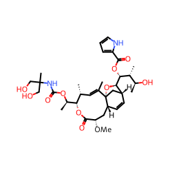 CO[C@H]1C[C@H]2C=C[C@@H]3C[C@]2(O[C@H]3[C@H](OC(=O)c2ccc[nH]2)[C@H](C)[C@H](C)O)/C(C)=C/[C@@H](C)[C@@H]([C@@H](C)OC(=O)NC(C)(CO)CO)OC1=O